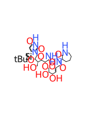 CC(C)(C)[Si](C)(C)O[C@@H]1[C@H](CO)[C@@H]([C@@H](O[C@H]2OC(C(=O)N[C@H]3CCCCNC3=O)=C[C@H](O)[C@@H]2O)C(N)=O)O[C@H]1n1ccc(=O)[nH]c1=O